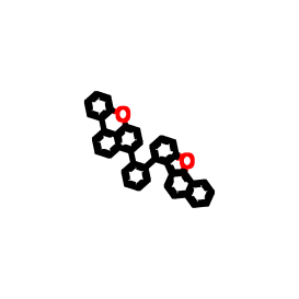 c1ccc2c(c1)Oc1ccc(-c3ccccc3-c3cccc4oc5c6ccccc6ccc5c34)c3cccc-2c13